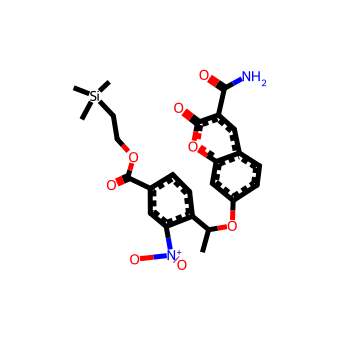 CC(Oc1ccc2cc(C(N)=O)c(=O)oc2c1)c1ccc(C(=O)OCC[Si](C)(C)C)cc1[N+](=O)[O-]